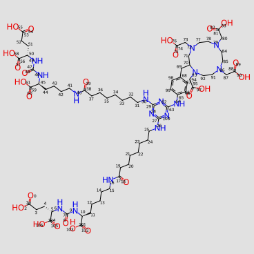 O=C(O)CC[C@H](NC(=O)N[C@@H](CCCCCNC(=O)CCCCCCCNc1nc(NCCCCCCCC(=O)NCCCC[C@H](NC(=O)N[C@@H](CCC(=O)O)C(=O)O)C(=O)O)nc(Nc2ccc(CC3CN(CC(=O)O)CCN(CC(=O)O)CCN(CC(=O)O)CCN3CC(=O)O)cc2)n1)C(=O)O)C(=O)O